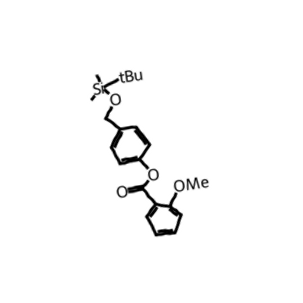 COc1ccccc1C(=O)Oc1ccc(CO[Si](C)(C)C(C)(C)C)cc1